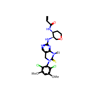 C=CC(=O)N[C@H]1CCOC[C@H]1Nc1ncc2c(n1)N(CC)C(=S)N(c1c(Cl)c(OC)cc(OC)c1Cl)C2